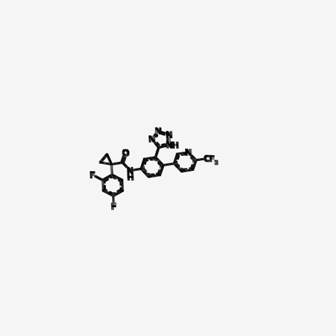 O=C(Nc1ccc(-c2ccc(C(F)(F)F)nc2)c(-c2nnn[nH]2)c1)C1(c2ccc(F)cc2F)CC1